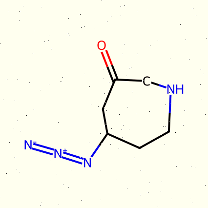 [N-]=[N+]=NC1CCNCC(=O)C1